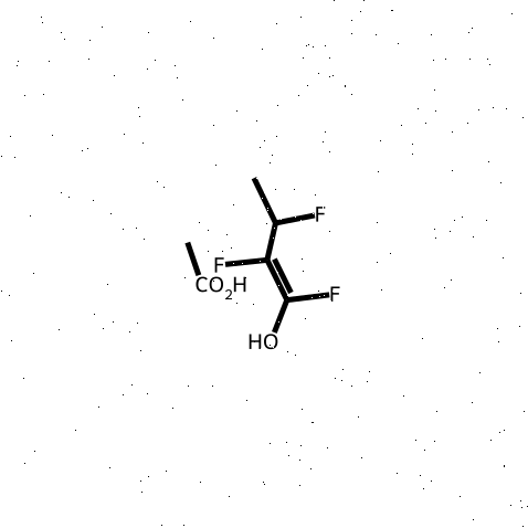 CC(=O)O.CC(F)C(F)=C(O)F